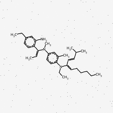 C/C=C(\c1ccc(CC)cc1N)N(C)c1ccc(N(CC)C(/C=C/C(C)C)=C/CCCCC)c(C)c1